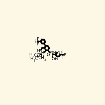 CC(C)(C)NC(=O)N1CCC2=C(c3cccc(C(F)(F)F)c3)C=CC(C(=O)N[C@@H](CO)c3ccc(C(F)(F)F)nc3)C2C1